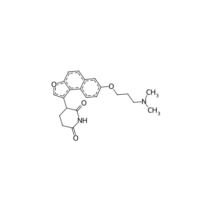 CN(C)CCCOc1ccc2c(ccc3occ(C4CCC(=O)NC4=O)c32)c1